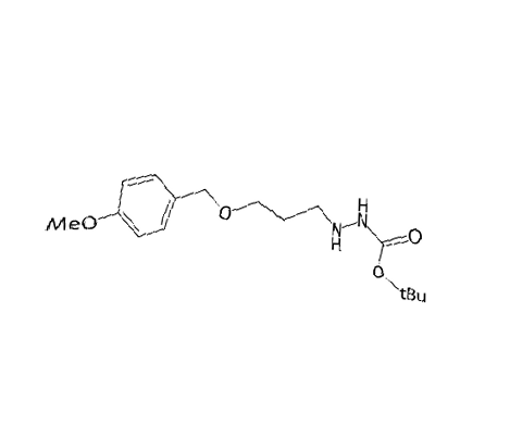 COc1ccc(COCCCNNC(=O)OC(C)(C)C)cc1